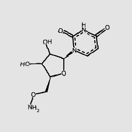 NOC[C@@H]1O[C@H](n2ccc(=O)[nH]c2=O)C(O)C1O